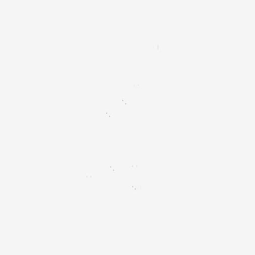 O=C1CCC(N2Cc3cc(CN4CCN(C(=O)c5ccccc5-c5ccc(Cl)cc5)CC4)ccc3C2=O)C(=O)N1